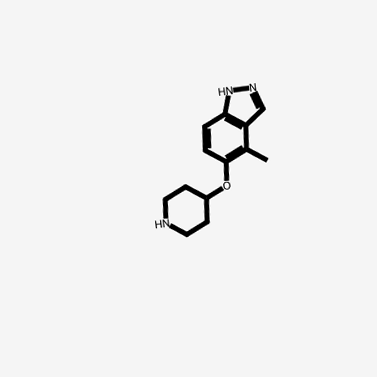 Cc1c(OC2CCNCC2)ccc2[nH]ncc12